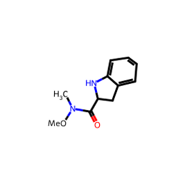 CON(C)C(=O)C1Cc2ccccc2N1